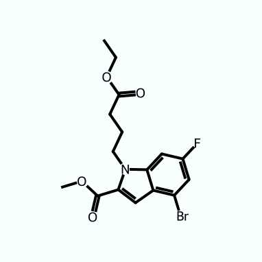 CCOC(=O)CCCn1c(C(=O)OC)cc2c(Br)cc(F)cc21